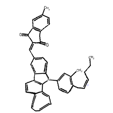 CCC/C=C\c1ccc(-n2c3ccc(C=C4C(=O)c5ccc(C)cc5C4=O)cc3c3ccc4ccccc4c32)cc1C